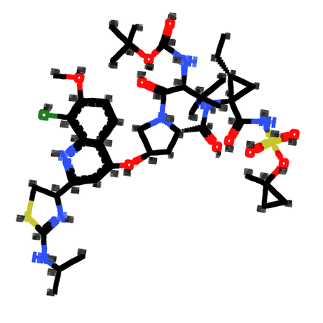 CC[C@@H]1C[C@]1(NC(=O)[C@@H]1C[C@@H](Oc2cc(C3CSC(NC(C)C)=N3)nc3c(Cl)c(OC)ccc23)CN1C(=O)[C@@H](NC(=O)OC(C)(C)C)C(C)(C)C)C(=O)NS(=O)(=O)OC1(C)CC1